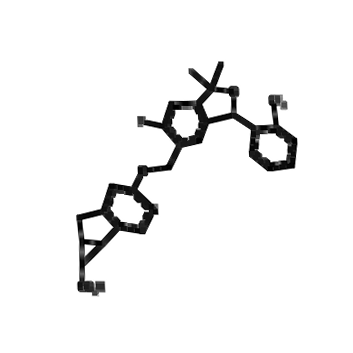 CC1(C)OC(c2ccccc2C(F)(F)F)c2cc(COc3cc4c(cn3)C3C(C4)C3C(=O)O)c(F)cc21